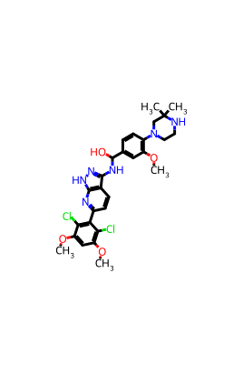 COc1cc(C(O)Nc2n[nH]c3nc(-c4c(Cl)c(OC)cc(OC)c4Cl)ccc23)ccc1N1CCNC(C)(C)C1